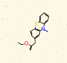 C=C(Cc1ccc2c(c1)N(C)c1ccccc1S2)OCC